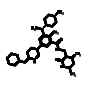 Cc1c(C(=O)NCC2C(=O)NC(C)CC2C)cc(C2CCC(CN3CCOCC3)NC2)cc1N(C)[C@H]1CC[C@H](N)CC1